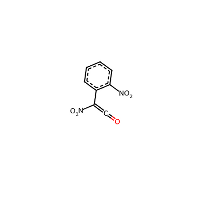 O=C=C(c1ccccc1[N+](=O)[O-])[N+](=O)[O-]